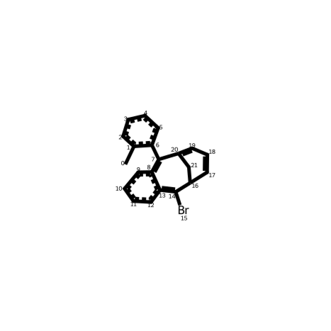 Cc1ccccc1C1=c2ccccc2=C(Br)C2C=CC=C1C2